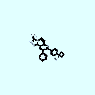 C=C1NN=C2c3cc(-c4ccccc4)c(-c4ccc(C5(N)CCC5)cc4)nc3C=CN12